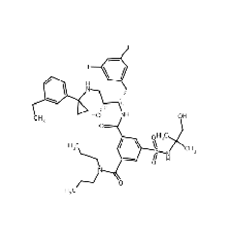 CCCN(CCC)C(=O)c1cc(C(=O)N[C@@H](Cc2cc(F)cc(F)c2)[C@H](O)CNC2(c3cccc(CC)c3)CC2)cc(S(=O)(=O)NC(C)(C)CO)c1